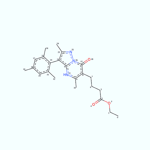 CCOC(=O)CCCc1c(C)[nH]c2c(-c3c(C)cc(C)cc3C)c(C)nn2c1=O